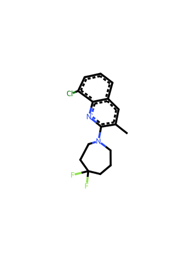 Cc1cc2cccc(Cl)c2nc1N1CCCC(F)(F)CC1